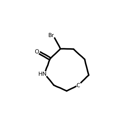 O=C1NCCCCCCC1Br